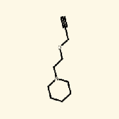 C#CCOCCN1CC[CH]CC1